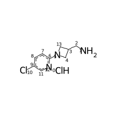 Cl.NCC1CN(c2ccc(Cl)cn2)C1